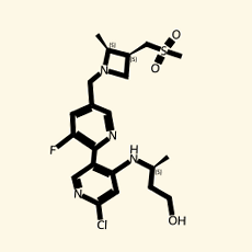 C[C@@H](CCO)Nc1cc(Cl)ncc1-c1ncc(CN2C[C@H](CS(C)(=O)=O)[C@@H]2C)cc1F